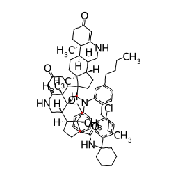 CCCCc1ccc(CCCC)c(N(C(=O)C2(C3CC(=O)C=C4NC[C@@H]5[C@@H](CC[C@]6(C)C(C(=O)NC7(c8ccc(Cl)cc8)CCCCC7)CC[C@@H]56)[C@]43C)CC[C@H]3[C@@H]4CNC5=CC(=O)CC[C@]5(C)[C@@H]4CC[C@@]32C)c2ccccc2)c1